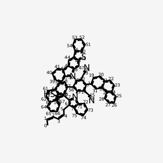 C/C=C\C=C/Cc1c(/C=C(\C)S)n(-c2c(C#N)c(-c3ccc4ccc5ccccc5c4c3)c(C#N)c(-n3c4ccccc4c4cc5c(cc43)sc3ccccc35)c2-c2ccc3ccc4ccccc4c3c2)c2ccccc12